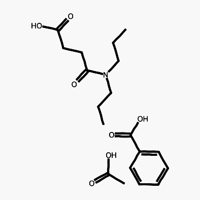 CC(=O)O.CCCN(CCC)C(=O)CCC(=O)O.O=C(O)c1ccccc1